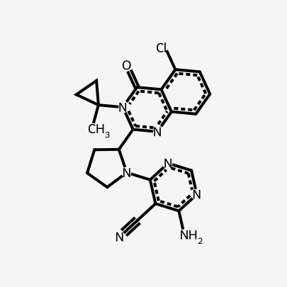 CC1(n2c(C3CCCN3c3ncnc(N)c3C#N)nc3cccc(Cl)c3c2=O)CC1